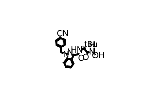 CC(C)(C)[C@H](NC(=O)c1nn(Cc2ccc(C#N)cc2)c2ccccc12)C(=O)NO